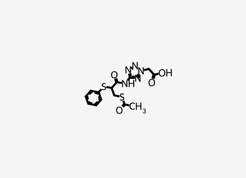 CC(=O)SCC(Sc1ccccc1)C(=O)Nc1nnn(CC(=O)O)n1